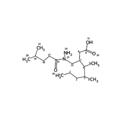 CCCC(C)C(C)C(CC(=O)O)CN(N)C(=O)CCC(C)C